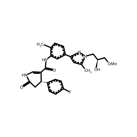 COC[C@@H](O)Cn1nc(-c2ccc(C)c(NC(=O)C3=CNC(=O)C[C@H]3c3ccc(F)cc3)c2)cc1C